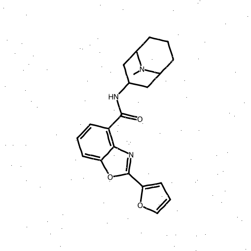 CN1C2CCCC1CC(NC(=O)c1cccc3oc(-c4ccco4)nc13)C2